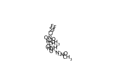 CC(=O)N1CCN(CCC(=O)Nc2cc(CN3C(=O)N(c4ccc(SC(F)(F)F)cc4)C(=O)C3(C)C)ccn2)CC1